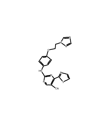 N#Cc1cnc(Nc2ccc(OCCn3cncn3)cc2)nc1-c1nccs1